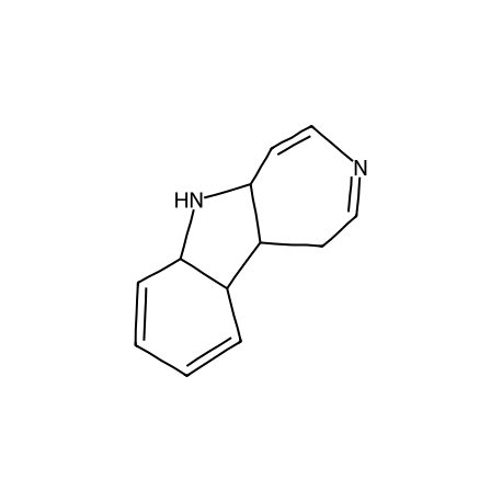 C1=CC2NC3C=CN=CCC3C2C=C1